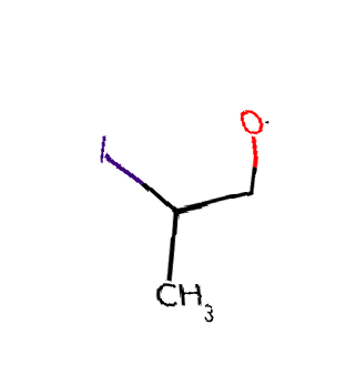 CC(I)C[O]